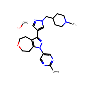 COc1ncc(-n2nc(-c3cnn(CC4CCN(C)CC4)c3)c3c2CCOCC3)cn1.O=CO